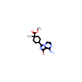 COC(=O)C1(C)CCC(c2nc(Br)c3c(N)nccn23)CC1